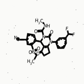 CCS(=O)(=O)c1cc(C#N)ccc1C1C2=C(CCC2=O)N(c2cccc(C(F)F)c2)C(=O)N1C(=O)NC